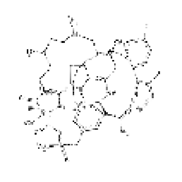 CC(C)[C@H](NC(=O)[C@@H]1CCCN1C(=O)[C@H](CC(N)=O)NC(=O)CN(C)CCN(C)CCN(C)CCNC(=O)OC(C)(C)C)C(=O)N=[S@@](C)(=O)Cc1cc2cc(c1)OCCCCOc1cc(F)ccc1-c1nc(ncc1F)N2